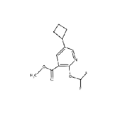 COC(=O)c1cc(C2CCC2)cnc1OC(F)F